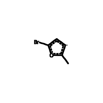 Cc1[c]cc(Br)o1